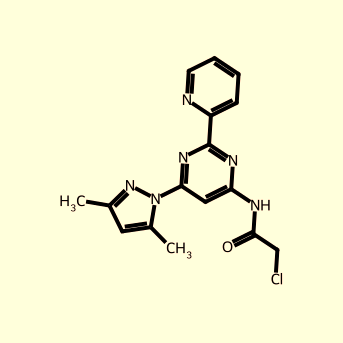 Cc1cc(C)n(-c2cc(NC(=O)CCl)nc(-c3ccccn3)n2)n1